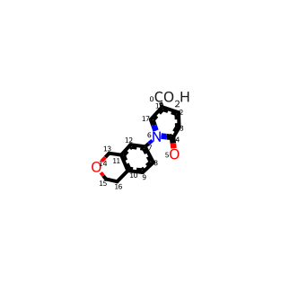 O=C(O)c1ccc(=O)n(-c2ccc3c(c2)COCC3)c1